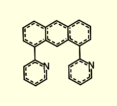 c1ccc(-c2cccc3cc4cccc(-c5ccccn5)c4cc23)nc1